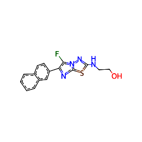 OCCNc1nn2c(F)c(-c3ccc4ccccc4c3)nc2s1